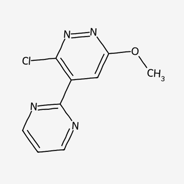 COc1cc(-c2ncccn2)c(Cl)nn1